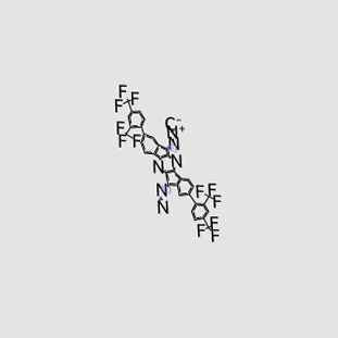 [C-]#[N+]/N=c1\c2cc(-c3ccc(C(F)(F)F)cc3C(F)(F)F)ccc2c2nc3/c(=N/C#N)c4cc(-c5ccc(C(F)(F)F)cc5C(F)(F)F)ccc4c3nc12